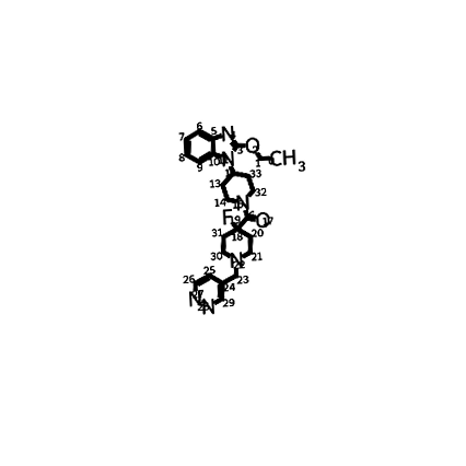 CCOc1nc2ccccc2n1C1CCN(C(=O)C2(F)CCN(Cc3ccnnc3)CC2)CC1